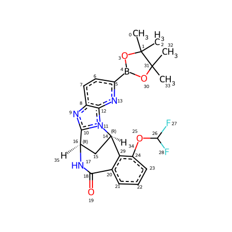 CC1(C)OB(c2ccc3nc4n(c3n2)[C@@H]2C[C@H]4NC(=O)c3cccc(OC(F)F)c32)OC1(C)C